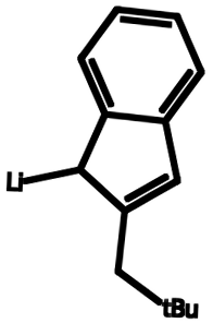 [Li][CH]1C(CC(C)(C)C)=Cc2ccccc21